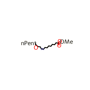 CCCCCC1OC1C/C=C\CCCCCCCC(=O)OOC